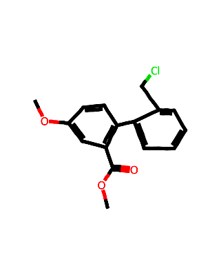 COC(=O)c1cc(OC)ccc1-c1ccccc1CCl